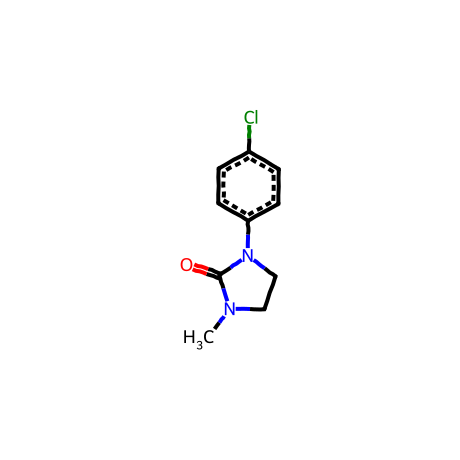 CN1CCN(c2ccc(Cl)cc2)C1=O